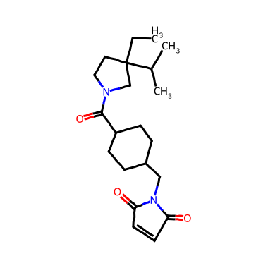 CCC1(C(C)C)CCN(C(=O)C2CCC(CN3C(=O)C=CC3=O)CC2)C1